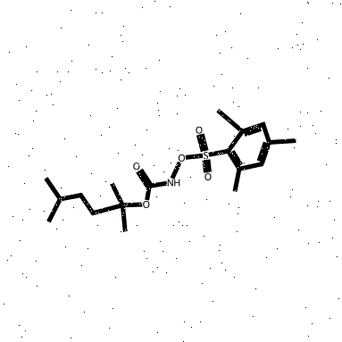 Cc1cc(C)c(S(=O)(=O)ONC(=O)OC(C)(C)CCC(C)C)c(C)c1